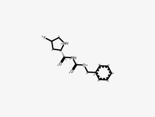 O=C(NC(=O)[C@@H]1CC(F)CN1)OCc1ccccc1